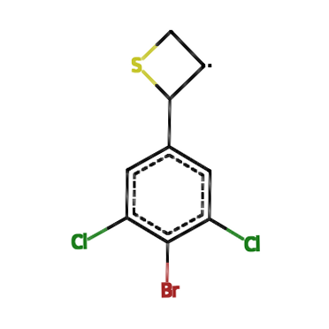 Clc1cc(C2[CH]CS2)cc(Cl)c1Br